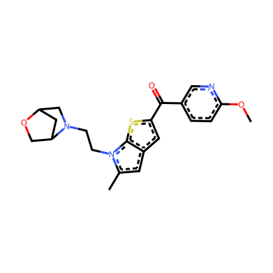 COc1ccc(C(=O)c2cc3cc(C)n(CCN4CC5CC4CO5)c3s2)cn1